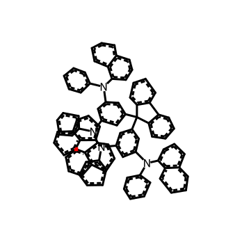 c1ccc(N(c2cc(N(c3ccccc3)c3cccc4ccccc34)cc(C3(c4cc(N(c5ccccc5)c5cccc6ccccc56)cc(N(c5ccccc5)c5cccc6ccccc56)c4)c4ccccc4-c4ccccc43)c2)c2cccc3ccccc23)cc1